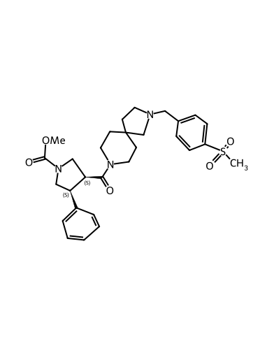 COC(=O)N1C[C@H](c2ccccc2)[C@H](C(=O)N2CCC3(CCN(Cc4ccc(S(C)(=O)=O)cc4)C3)CC2)C1